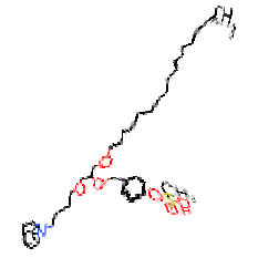 CCCCCCCCCCCCCCCCOCC(COCCCC[N+]12CCC(CC1)CC2)OCc1ccccc1.CS(=O)(=O)O